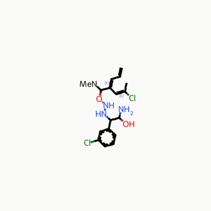 C=C/C=C(\C=C(/C)Cl)C(NC)ONNC(c1cccc(Cl)c1)C(N)O